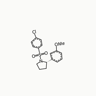 COc1cccc([C@@H]2CCCN2S(=O)(=O)c2ccc(Cl)cc2)c1